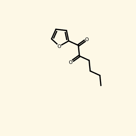 CCCCC(=O)C(=O)c1ccco1